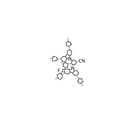 Cc1ccc(-c2ccc3c(c2)c2cc(-c4ccc(C)cc4)ccc2n3-c2cc(C#N)cc(-n3c4ccc(-c5ccc(C)cc5)cc4c4cc(-c5ccc(C)cc5)ccc43)c2-c2cc(C)cc(C(F)(F)F)c2)cc1